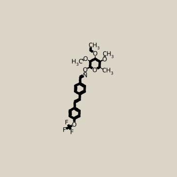 CCO[C@@H]1[C@@H](OC)[C@H](C)O[C@@H](ON=Cc2ccc(C=Cc3ccc(OC(F)(F)F)cc3)cc2)[C@@H]1OC